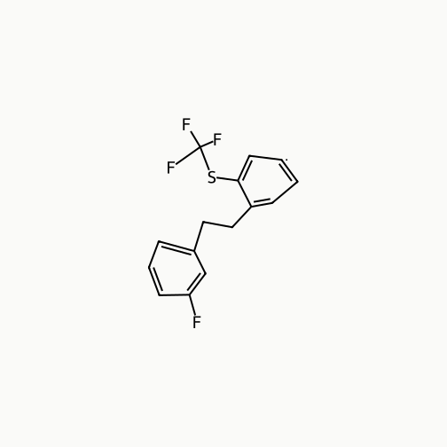 Fc1cccc(CCc2cc[c]cc2SC(F)(F)F)c1